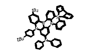 CC(C)(C)c1ccc(N2c3ccc(C(C)(C)C)cc3B3c4cccc5c4N(c4ccccc4[Si]54c5ccccc5-c5ccccc54)c4cc(N(c5ccccc5)c5ccccc5)cc2c43)cc1